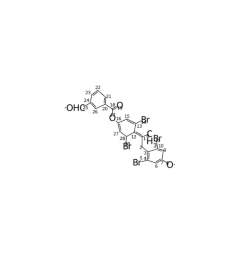 CC(Cc1c(Br)cc([O])cc1Br)=C1C(Br)=CC(OC(=O)c2cccc([C]=O)c2)=CC1Br